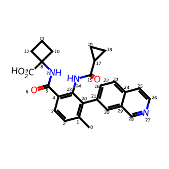 Cc1ccc(C(=O)NC2(C(=O)O)CCC2)c(NC(=O)C2CC2)c1-c1ccc2ccncc2c1